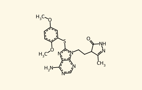 COc1ccc(OC)c(Sc2nc3c(N)ncnc3n2CCC2C(=O)NN=C2C)c1